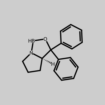 B1OC(c2ccccc2)(c2ccccc2)[C@H]2CCCN12